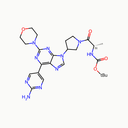 C[C@H](NC(=O)OC(C)(C)C)C(=O)N1CCC(n2cnc3c(-c4cnc(N)nc4)nc(N4CCOCC4)nc32)C1